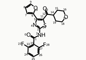 O=C(Nc1nc(-c2ccco2)c(C(=O)C2CCOCC2)s1)c1c(F)cccc1F